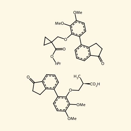 CCCOC(=O)C1(COc2c(-c3cccc4c3CCC4=O)ccc(OC)c2OC)CC1.COc1ccc(-c2cccc3c2CCC3=O)c(OC[C@@H](C)C(=O)O)c1OC